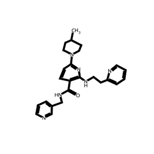 CC1CCN(c2ccc(C(=O)NCc3cccnc3)c(NCCc3ccccn3)n2)CC1